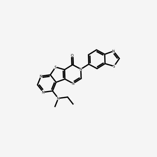 CCN(C)c1ncnc2sc3c(=O)n(-c4ccc5ncsc5c4)cnc3c12